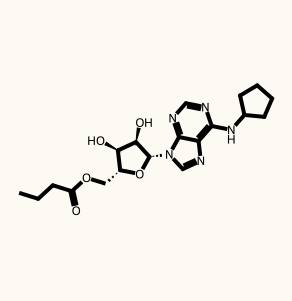 CCCC(=O)OC[C@H]1O[C@@H](n2cnc3c(NC4CCCC4)ncnc32)[C@H](O)[C@@H]1O